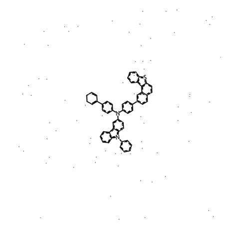 C1=CC(c2ccc(N(c3ccc(-c4ccc5ccc6sc7ccccc7c6c5c4)cc3)c3ccc4c(c3)c3ccccc3n4-c3ccccc3)cc2)=CCC1